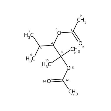 CC(=O)OC(C(C)C)C(C)(C)OC(C)=O